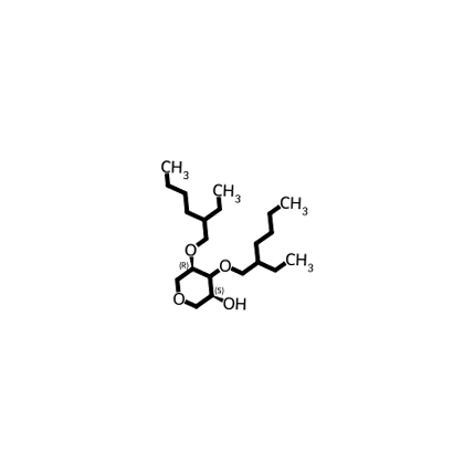 CCCCC(CC)COC1[C@@H](O)COC[C@H]1OCC(CC)CCCC